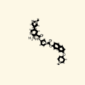 CN1CCC(Oc2ccc3ccc(OC(=O)N4CC[C@@H](NC(=O)c5cc(-c6cnn(C)c6)cnc5N)C4)cc3c2)CC1